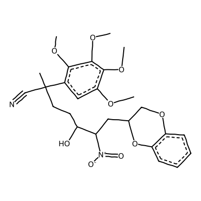 COc1cc(C(C)(C#N)CCC(O)C(CC2COc3ccccc3O2)[N+](=O)[O-])c(OC)c(OC)c1OC